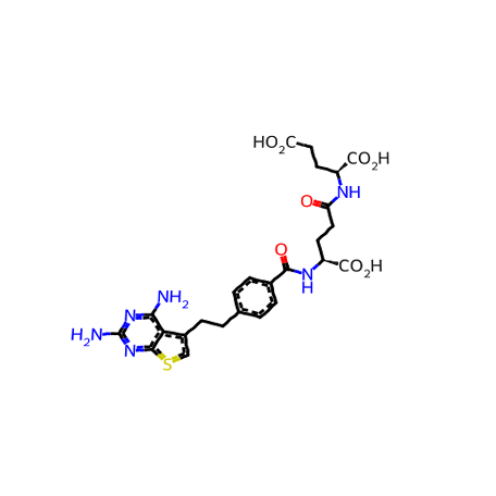 Nc1nc(N)c2c(CCc3ccc(C(=O)N[C@@H](CCC(=O)N[C@@H](CCC(=O)O)C(=O)O)C(=O)O)cc3)csc2n1